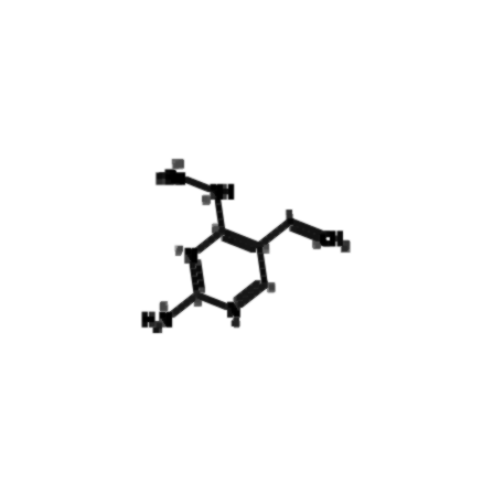 C=Cc1cnc(N)nc1NCCCC